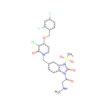 CNCC(=O)n1c(=O)n(S(C)(=O)=O)c2cc(Cn3ccc(OCc4ccc(F)cc4F)c(Cl)c3=O)ccc21